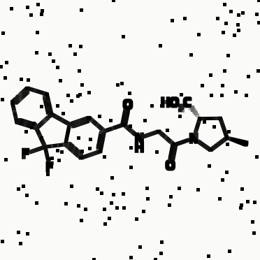 C[C@@H]1C[C@@H](C(=O)O)N(C(=O)CNC(=O)c2ccc3c(c2)-c2ccccc2C3(F)F)C1